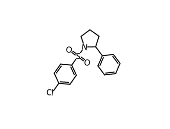 O=S(=O)(c1ccc(Cl)cc1)N1CCCC1c1ccccc1